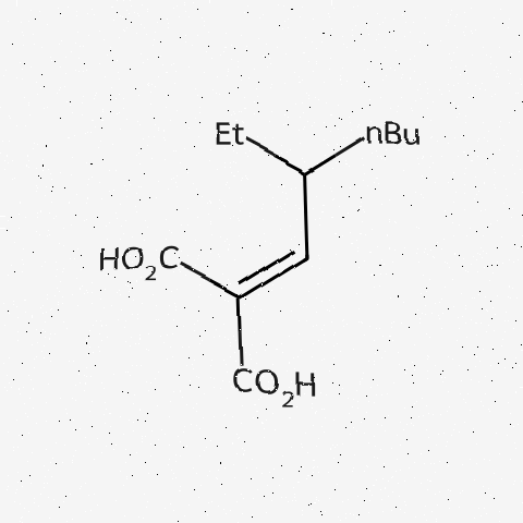 CCCCC(C=C(C(=O)O)C(=O)O)CC